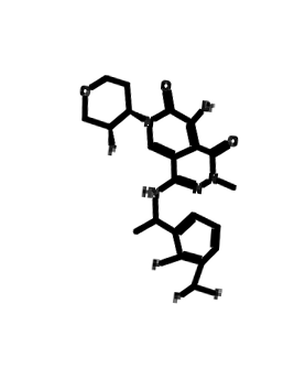 CC(Nc1nn(C)c(=O)c2c(Br)c(=O)n([C@@H]3CCOC[C@@H]3F)cc12)c1cccc(C(F)F)c1F